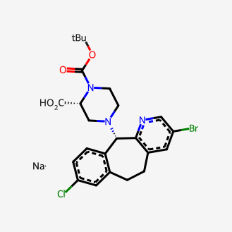 CC(C)(C)OC(=O)N1CCN([C@H]2c3ccc(Cl)cc3CCc3cc(Br)cnc32)C[C@@H]1C(=O)O.[Na]